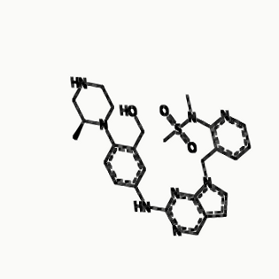 C[C@H]1CNCCN1c1ccc(Nc2ncc3ccn(Cc4cccnc4N(C)S(C)(=O)=O)c3n2)cc1CO